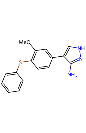 COc1cc(-c2c[nH]nc2N)ccc1Sc1ccccc1